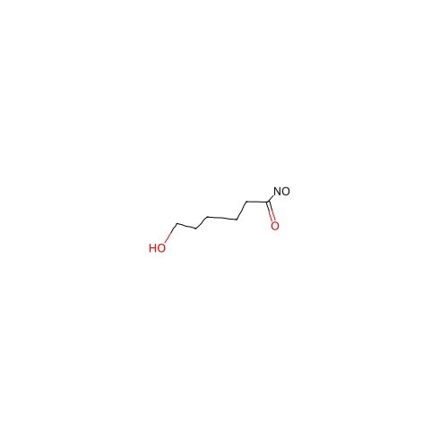 O=NC(=O)CCCCCO